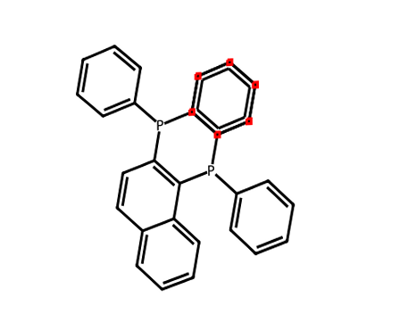 c1ccc(P(c2ccccc2)c2ccc3ccccc3c2P(c2ccccc2)c2ccccc2)cc1